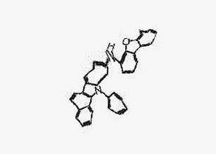 c1ccc(-n2c3cc(Nc4cccc5c4oc4ccccc45)ccc3c3ccc4ccccc4c32)cc1